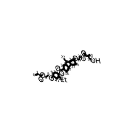 C=CC(=O)OCCOc1ccc(OC(=O)c2ccc3c(c2)C(C)c2cc(OCCOC(=O)C(=C)CO)ccc2-3)c(CC)c1